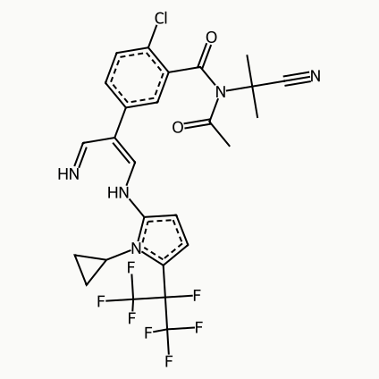 CC(=O)N(C(=O)c1cc(/C(C=N)=C/Nc2ccc(C(F)(C(F)(F)F)C(F)(F)F)n2C2CC2)ccc1Cl)C(C)(C)C#N